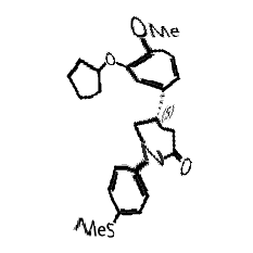 COc1ccc([C@@H]2CC(=O)N(c3ccc(SC)cc3)C2)cc1OC1CCCC1